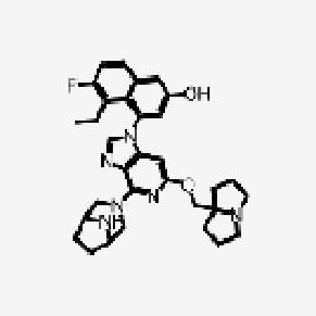 CCc1c(F)ccc2cc(O)cc(-n3cnc4c(N5CC6CCC(C5)N6)nc(OCC56CCCN5CCC6)cc43)c12